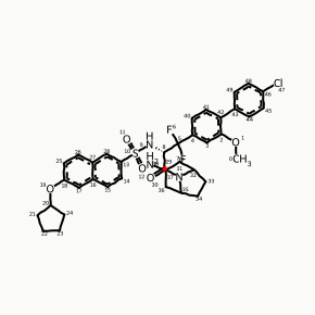 COc1cc(C(F)(F)[C@@H](NS(=O)(=O)c2ccc3cc(OC4CCCC4)ccc3c2)C(=O)N2C3CCC2CC(N)C3)ccc1-c1ccc(Cl)cc1